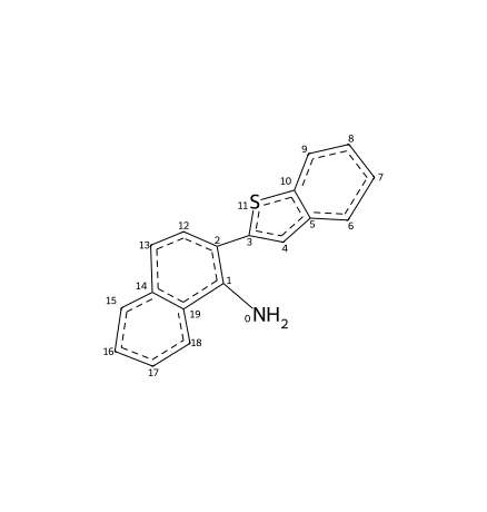 Nc1c(-c2cc3ccccc3s2)ccc2ccccc12